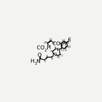 NC(=O)CCCN1CCN(c2ccc(F)cc2)CC1.O=C(O)/C=C\C(=O)O